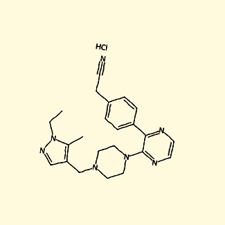 CCn1ncc(CN2CCN(c3nccnc3-c3ccc(CC#N)cc3)CC2)c1C.Cl